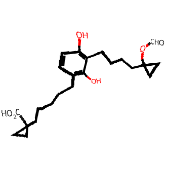 O=COC1(CCCCc2c(O)ccc(CCCCCC3(C(=O)O)CC3)c2O)CC1